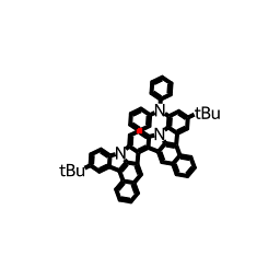 CC(C)(C)c1ccc2c(c1)c1c3ccccc3cc3c4c5c6cc7ccccc7c7c8cc(C(C)(C)C)cc(N(c9ccccc9)c9ccccc9)c8n(c5ccc4n2c31)c67